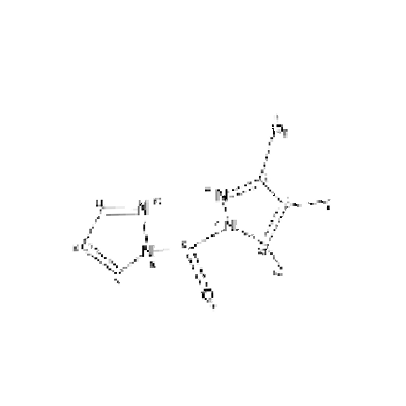 Cc1c(C(C)C)nn(C(=O)n2cccn2)c1C